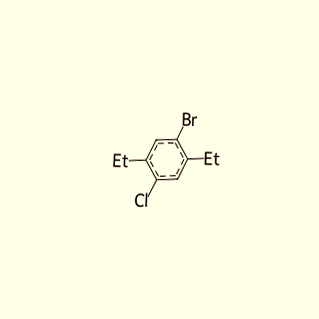 CCc1cc(Br)c(CC)cc1Cl